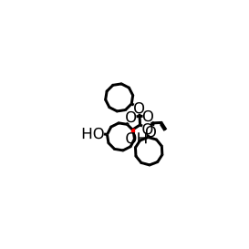 C=CC(=O)OC(OC1CCCCCCCCC1)(OC1CCCCCCC(O)CC1)C(CO)OC1CCCCCCCCC1